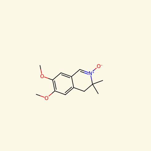 COc1cc2c(cc1OC)CC(C)(C)[N+]([O-])=C2